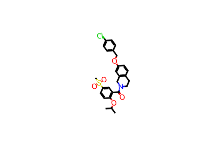 CC(C)Oc1ccc(S(C)(=O)=O)cc1C(=O)N1CCc2ccc(OCc3ccc(Cl)cc3)cc2C1